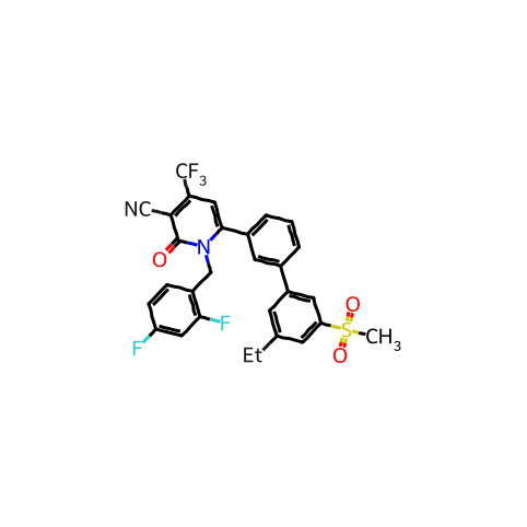 CCc1cc(-c2cccc(-c3cc(C(F)(F)F)c(C#N)c(=O)n3Cc3ccc(F)cc3F)c2)cc(S(C)(=O)=O)c1